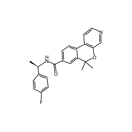 C[C@@H](NC(=O)c1ccc2c(c1)C(C)(C)Oc1cnccc1-2)c1ccc(F)cc1